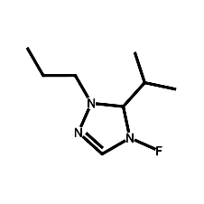 CCCN1N=CN(F)C1C(C)C